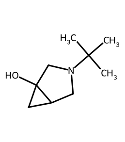 CC(C)(C)N1CC2CC2(O)C1